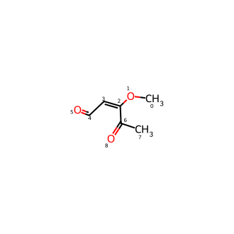 CO/C(=C/C=O)C(C)=O